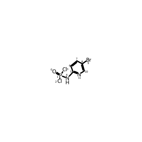 O=P(Cl)(Cl)Nc1ccc(Br)cn1